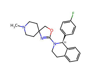 CN1CCC2(CC1)COC(N1CCc3ccccc3[C@@H]1c1ccc(F)cc1)=N2